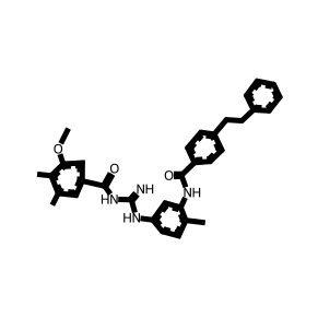 COc1cc(C(=O)NC(=N)Nc2ccc(C)c(NC(=O)c3ccc(CCc4ccccc4)cc3)c2)cc(C)c1C